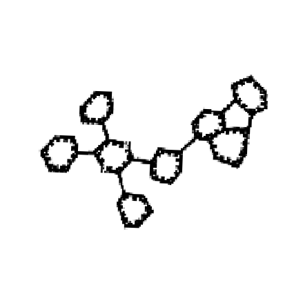 c1ccc(-c2nc(-c3ccccc3)c(-c3cccc(-c4ccc5c6c(cccc46)-c4ccccc4-5)c3)nc2-c2ccccc2)cc1